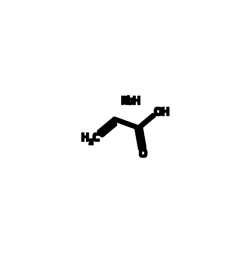 C=CC(=O)O.[RbH]